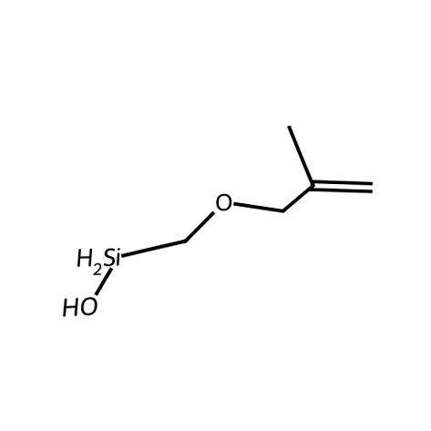 C=C(C)COC[SiH2]O